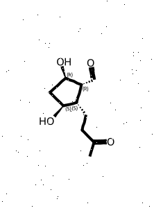 CC(=O)CC[C@H]1[C@@H](C=O)[C@H](O)C[C@@H]1O